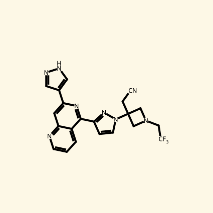 N#CCC1(n2ccc(-c3nc(-c4cn[nH]c4)cc4ncccc34)n2)CN(CC(F)(F)F)C1